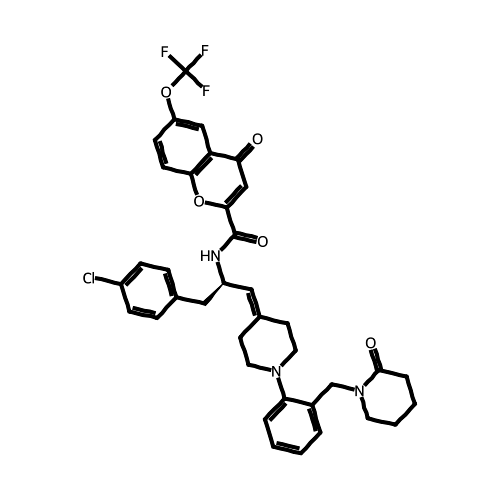 O=C(N[C@@H](C=C1CCN(c2ccccc2CN2CCCCC2=O)CC1)Cc1ccc(Cl)cc1)c1cc(=O)c2cc(OC(F)(F)F)ccc2o1